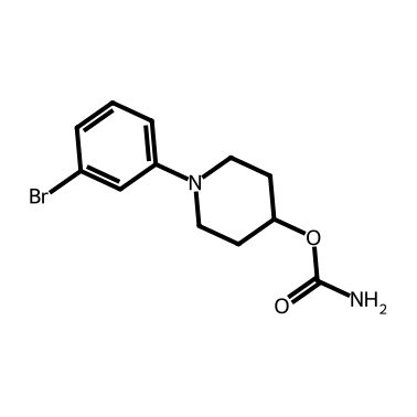 NC(=O)OC1CCN(c2cccc(Br)c2)CC1